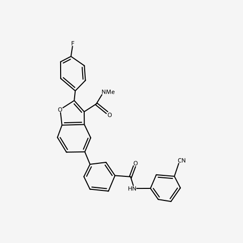 CNC(=O)c1c(-c2ccc(F)cc2)oc2ccc(-c3cccc(C(=O)Nc4cccc(C#N)c4)c3)cc12